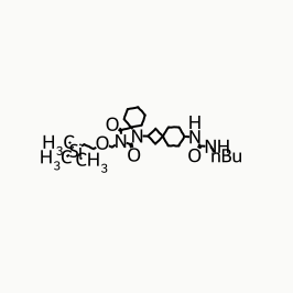 CCCCNC(=O)NC1CCC2(CC1)CC(N1C(=O)N(COCC[Si](C)(C)C)C(=O)C13CCCCC3)C2